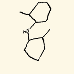 CC1CCCCC1BC1CCCCC1C